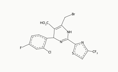 O=C(O)C1=C(CBr)NC(c2nc(C(F)(F)F)cs2)=NC1c1ccc(F)cc1Cl